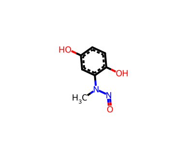 CN(N=O)c1cc(O)ccc1O